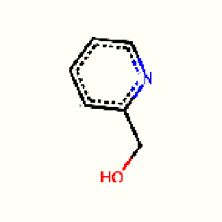 OCc1[c]cccn1